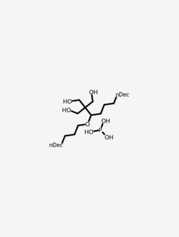 CCCCCCCCCCCCCOC(CCCCCCCCCCCCC)C(CO)(CO)CO.OP(O)O